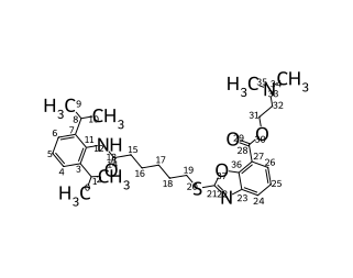 CC(C)c1cccc(C(C)C)c1NC(=O)CCCCCSc1nc2cccc(C(=O)OCCN(C)C)c2o1